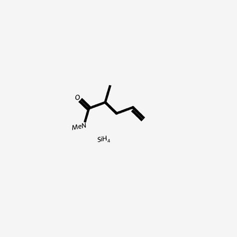 C=CCC(C)C(=O)NC.[SiH4]